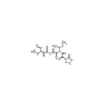 CC[C@H](C)[C@H](NC(=O)[C@@H]1CCCN1)C(=O)NCC(=O)N[C@H]([C]=O)CO